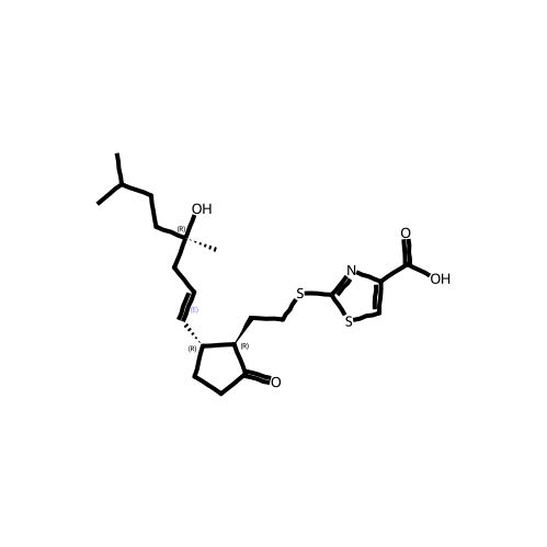 CC(C)CC[C@@](C)(O)C/C=C/[C@H]1CCC(=O)[C@@H]1CCSc1nc(C(=O)O)cs1